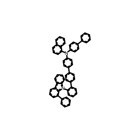 c1ccc(-c2ccc(N(c3ccc(-c4ccc(-c5ccccc5-n5c6ccccc6c6cccc(-c7ccccc7)c65)cc4)cc3)c3cccc4ccccc34)cc2)cc1